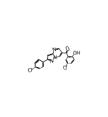 O=C(c1cnc2cc(-c3ccc(Cl)cc3)nn2c1)c1cc(Cl)ccc1O